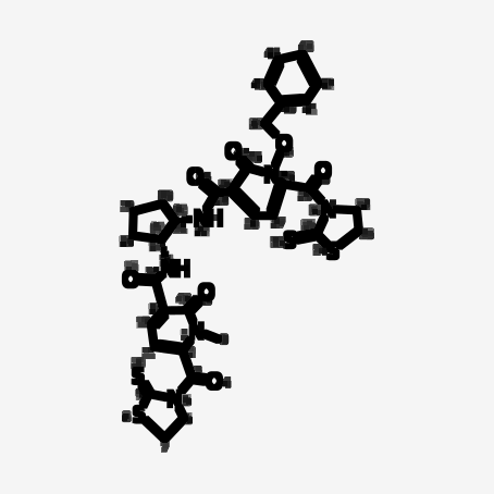 Cn1c(C(=O)N2CCSC2=S)ccc(C(=O)N[C@@H]2CCC[C@@H]2NC(=O)c2ccc(C(=O)N3CCSC3=S)n(OCc3ccccc3)c2=O)c1=O